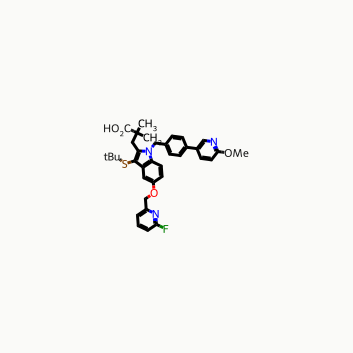 COc1ccc(-c2ccc(Cn3c(CC(C)(C)C(=O)O)c(SC(C)(C)C)c4cc(OCc5cccc(F)n5)ccc43)cc2)cn1